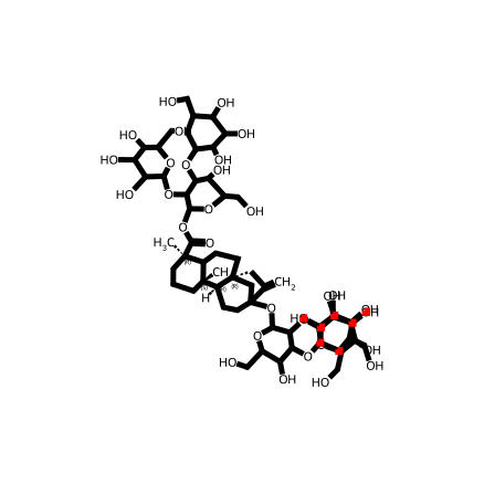 C=C1C[C@@]23CCC4[C@](C)(C(=O)OC5OC(CO)C(O)C(OC6CC(CO)C(O)C(O)C6O)C5OC5OC(CO)C(O)C(O)C5O)CCC[C@@]4(C)[C@@H]2CCC1(OC1OC(CO)C(O)C(OC2CC(CO)C(O)C(O)C2O)C1OC1OC(CO)C(O)C(O)C1O)C3